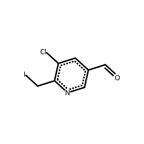 O=Cc1cnc(CI)c(Cl)c1